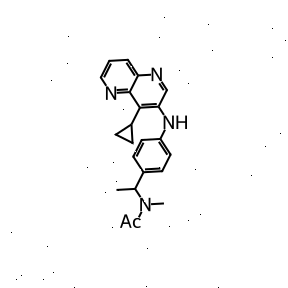 CC(=O)N(C)C(C)c1ccc(Nc2cnc3cccnc3c2C2CC2)cc1